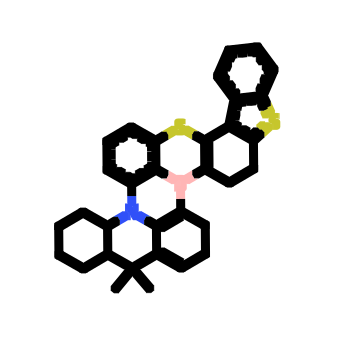 CC1(C)C2=CCCC3=C2N(c2cccc4c2B3C2=C(S4)c3c(sc4ccccc34)CC2)C2CCCCC21